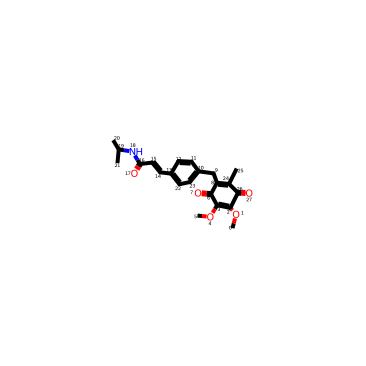 COC1=C(OC)C(=O)C(Cc2ccc(C=CC(=O)NC(C)C)cc2)=C(C)C1=O